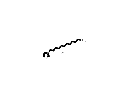 CCCCCCCCCCCC[n+]1ccoc1.[Br-]